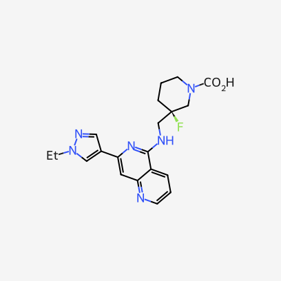 CCn1cc(-c2cc3ncccc3c(NC[C@]3(F)CCCN(C(=O)O)C3)n2)cn1